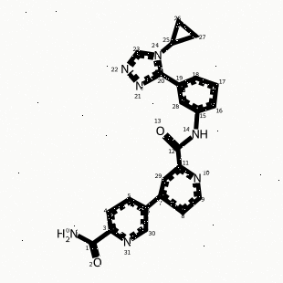 NC(=O)c1ccc(-c2ccnc(C(=O)Nc3cccc(-c4nncn4C4CC4)c3)c2)cn1